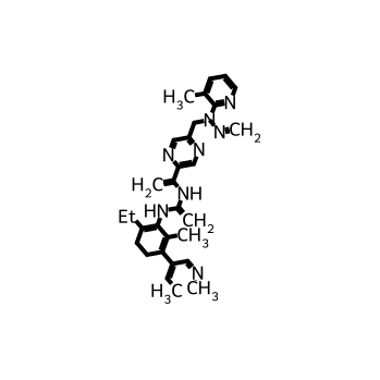 C=NN(Cc1cnc(C(=C)NC(=C)NC2=C(CC)CCC(C(/C=N\C)=C/C)=C2C)cn1)c1ncccc1C